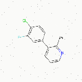 CC(C)c1ncccc1-c1ccc(Cl)c(F)c1